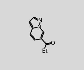 CCC(=O)c1ccc2ccnn2c1